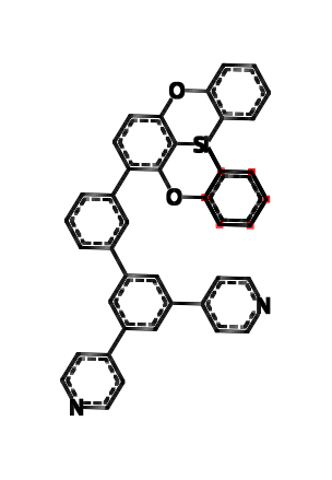 c1ccc([Si]23c4ccccc4Oc4ccc(-c5cccc(-c6cc(-c7ccncc7)cc(-c7ccncc7)c6)c5)c(c42)Oc2ccccc23)cc1